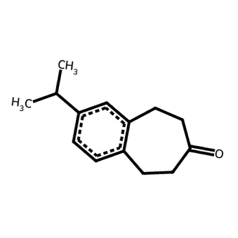 CC(C)c1ccc2c(c1)CCC(=O)CC2